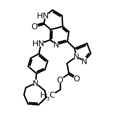 CCOC(=O)Cn1nccc1-c1cc2cc[nH]c(=O)c2c(Nc2ccc(N3CCC=CCC3)cc2)n1